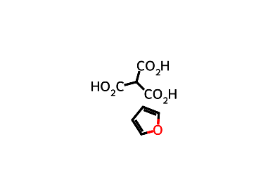 O=C(O)C(C(=O)O)C(=O)O.c1ccoc1